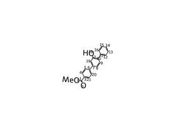 COC(=O)c1ccc(-c2ccc(-c3ccccc3)c(O)c2)cc1